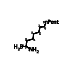 BC(N)CCCCCCCCCCC